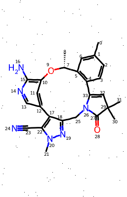 Cc1ccc2c(c1)[C@@H](C)Oc1cc(cnc1N)-c1c(nn(C)c1C#N)CN1C(=O)C(C)(C)C=C21